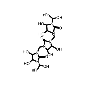 CCCC(O)N1C(=O)N(CN2C(=O)N(CN3C(=O)N(C(O)CCC)C(O)C3O)C(O)C2O)C(O)C1O